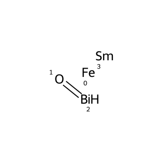 [Fe].[O]=[BiH].[Sm]